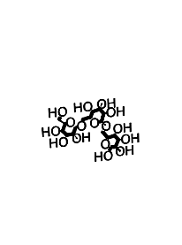 OC[C@H]1O[C@@H](OCC2O[C@@H](OCC3OC(O)[C@H](O)[C@@H](O)[C@@H]3O)[C@H](O)[C@@H](O)[C@@H]2O)[C@H](O)[C@@H](O)[C@@H]1O